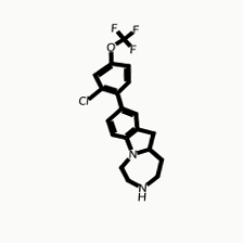 FC(F)(F)Oc1ccc(-c2ccc3c(c2)CC2CCNCCN32)c(Cl)c1